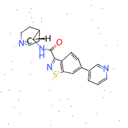 O=C(N[C@@H]1CN2CCC1CC2)c1nsc2cc(-c3cccnc3)ccc12